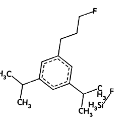 CC(C)c1cc(CCCF)cc(C(C)C)c1.F[SiH3]